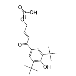 CC(C)(C)c1cc(C(=O)C=CCO[PH](=O)O)cc(C(C)(C)C)c1O